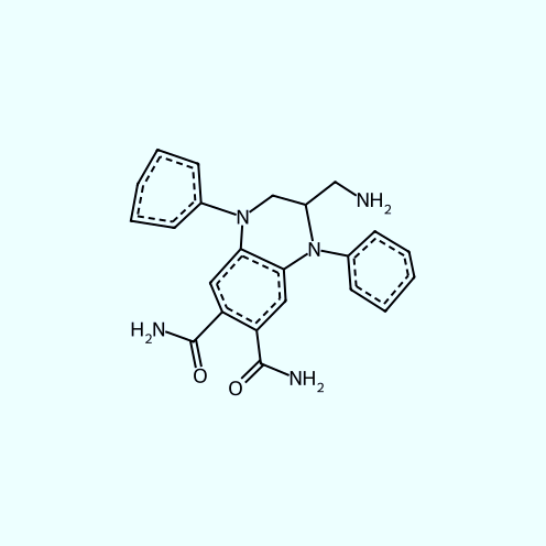 NCC1CN(c2ccccc2)c2cc(C(N)=O)c(C(N)=O)cc2N1c1ccccc1